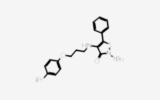 CC(C)c1ccc(OCCCNc2c(-c3ccccc3)sn(C(C)(C)C)c2=O)cc1